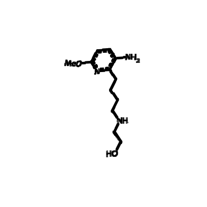 COc1ccc(N)c(CCCCNCCO)n1